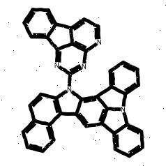 c1ccc2c(c1)-c1ccnc3nc(-n4c5ccc6ccccc6c5c5cc6c7ccccc7n7c8ccccc8c(c54)c67)nc-2c13